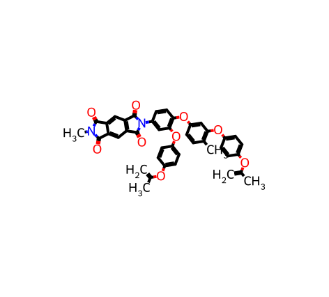 C=C(C)Oc1ccc(Oc2cc(Oc3ccc(-n4c(=O)c5cc6c(=O)n(C)c(=O)c6cc5c4=O)cc3Oc3ccc(OC(=C)C)cc3)ccc2C)cc1